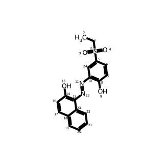 CCS(=O)(=O)c1ccc(O)c(N=Nc2c(O)ccc3ccccc23)c1